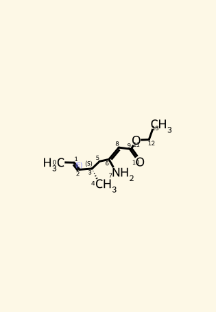 C/C=C/[C@@H](C)CC(N)=CC(=O)OCC